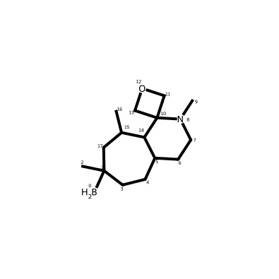 BC1(C)CCC2CCN(C)C3(COC3)C2C(C)C1